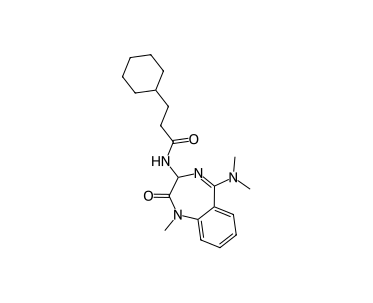 CN(C)C1=NC(NC(=O)CCC2CCCCC2)C(=O)N(C)c2ccccc21